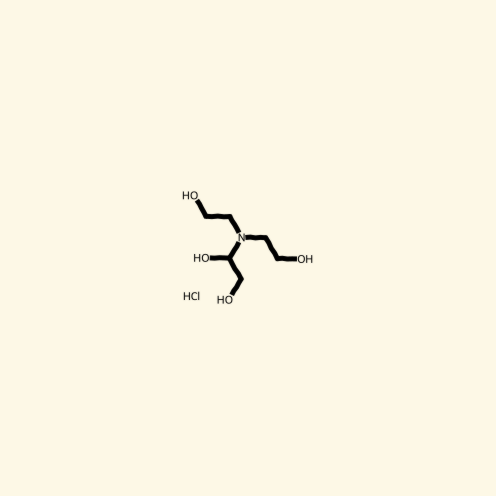 Cl.OCCN(CCO)C(O)CO